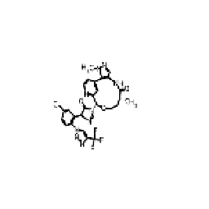 C[C@@H]1CCC[C@H](N2C=NC(c3cc(Cl)ccc3-n3cc(C(F)(F)F)nn3)C2=O)c2cc(ccn2)-c2c(cnn2C)NC1=O